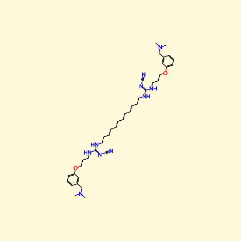 CN(C)Cc1cccc(OCCCNC(=NC#N)NCCCCCCCCCCCCNC(=NC#N)NCCCOc2cccc(CN(C)C)c2)c1